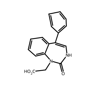 O=C(O)CN1C(=O)NC=C(c2ccccc2)c2ccccc21